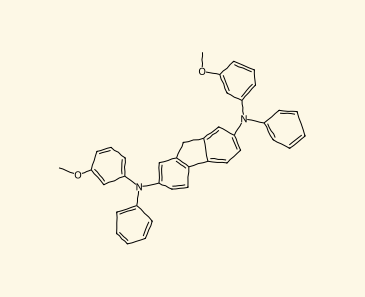 COc1cccc(N(c2ccccc2)c2ccc3c(c2)Cc2cc(N(c4ccccc4)c4cccc(OC)c4)ccc2-3)c1